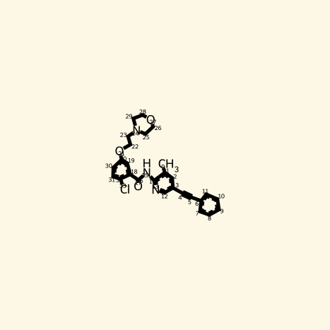 Cc1cc(C#Cc2ccccc2)cnc1NC(=O)c1cc(OCCN2CCOCC2)ccc1Cl